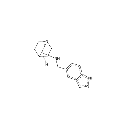 c1cc2[nH]ncc2cc1CN[C@@H]1CN2CCC1CC2